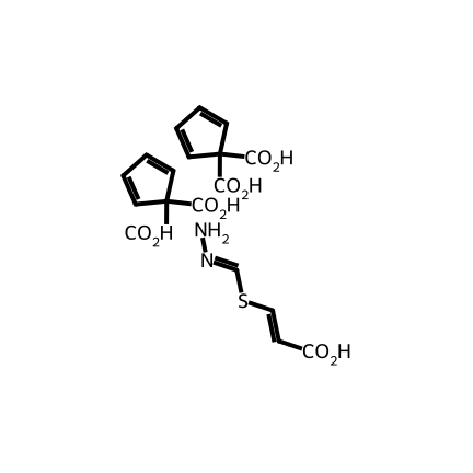 NN=CSC=CC(=O)O.O=C(O)C1(C(=O)O)C=CC=C1.O=C(O)C1(C(=O)O)C=CC=C1